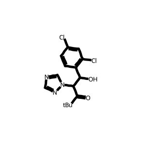 CC(C)(C)C(=O)C(C(O)c1ccc(Cl)cc1Cl)n1cncn1